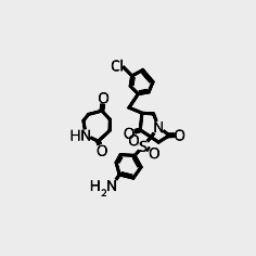 Nc1ccc(S(=O)(=O)C23CC(=O)N2CC(Cc2cccc(Cl)c2)C3=O)cc1.O=C1CCNC(=O)CC1